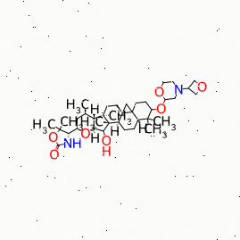 C[C@@H]1C[C@H]([C@@H]2NC(=O)OC2(C)C)O[C@H]2[C@H]1[C@@]1(C)CC[C@@]34CC35CCC(OC3CN(C6COC6)CCO3)C(C)(C)[C@@H]5CC[C@H]4[C@]1(C)[C@H]2O